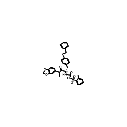 Cc1ccccc1S(=O)(=O)NC(=O)N[C@@H](Cc1ccc(OCc2ccccc2)cc1)C(=O)N(C)c1ccc2c(c1)OCO2